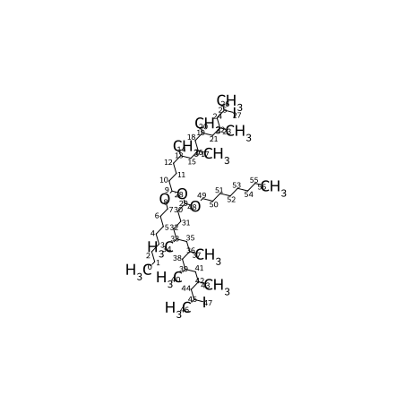 CCCCCCCCOC(CCCC(C)CC(C)CC(C)CC(C)CC(C)I)OC(CCCC(C)CC(C)CC(C)CC(C)CC(C)I)OCCCCCCCC